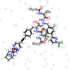 COC(=O)N[C@H](C(=O)NN(Cc1c(F)cc(-c2ccn(C(F)F)n2)cc1F)C[C@H](O)[C@H](Cc1ccc(C#Cc2cnc(N3CC4CCC(C3)N4C3COC3)nc2)cc1)NC(=O)[C@@H](NC(=O)OC)C(C)(C)C(F)(F)F)C(C)(C)C